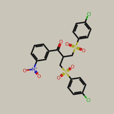 O=C(c1cccc([N+](=O)[O-])c1)C(CS(=O)(=O)c1ccc(Cl)cc1)CS(=O)(=O)c1ccc(Cl)cc1